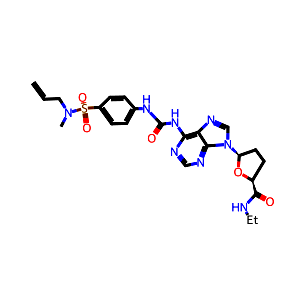 C=CCN(C)S(=O)(=O)c1ccc(NC(=O)Nc2ncnc3c2ncn3[C@H]2CC[C@@H](C(=O)NCC)O2)cc1